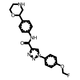 O=C(Nc1ccc(C2CNCCO2)cc1)c1cn(-c2ccc(OCF)cc2)nn1